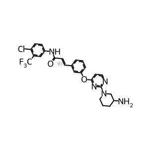 NC1CCCN(c2nccc(Oc3cccc(/C=C/C(=O)Nc4ccc(Cl)c(C(F)(F)F)c4)c3)n2)C1